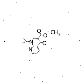 CCOC(=O)c1cn(C2CC2)c2ncccc2c1=O